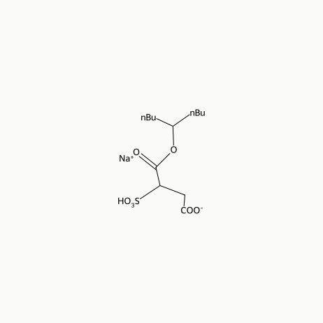 CCCCC(CCCC)OC(=O)C(CC(=O)[O-])S(=O)(=O)O.[Na+]